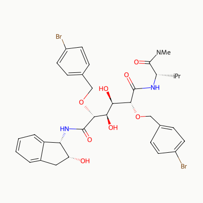 CNC(=O)[C@@H](NC(=O)[C@H](OCc1ccc(Br)cc1)[C@H](O)[C@@H](O)[C@@H](OCc1ccc(Br)cc1)C(=O)N[C@H]1c2ccccc2C[C@H]1O)C(C)C